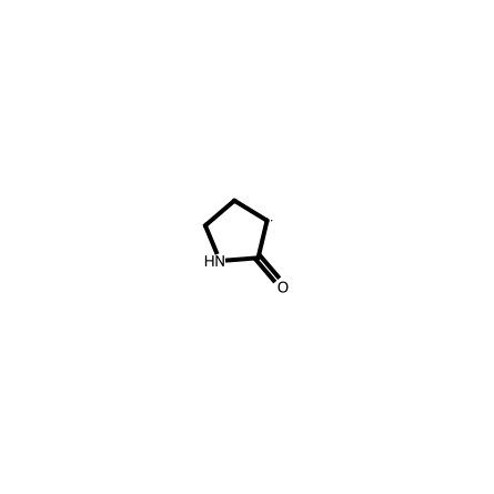 O=C1[CH]CCN1